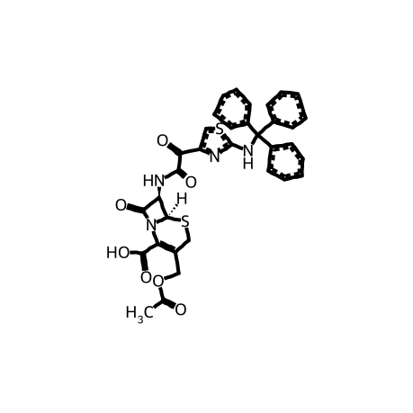 CC(=O)OCC1=C(C(=O)O)N2C(=O)[C@@H](NC(=O)C(=O)c3csc(NC(c4ccccc4)(c4ccccc4)c4ccccc4)n3)[C@H]2SC1